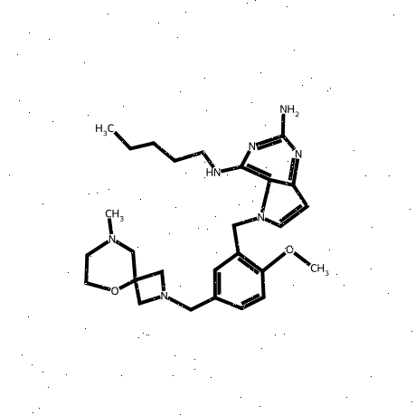 CCCCCNc1nc(N)nc2ccn(Cc3cc(CN4CC5(CN(C)CCO5)C4)ccc3OC)c12